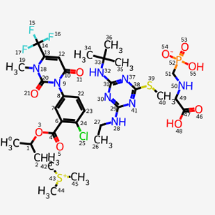 CC(C)OC(=O)c1cc(-n2c(=O)cc(C(F)(F)F)n(C)c2=O)ccc1Cl.CCNc1nc(NC(C)(C)C)nc(SC)n1.C[S+](C)C.O=C(O)CNCP(=O)([O-])O